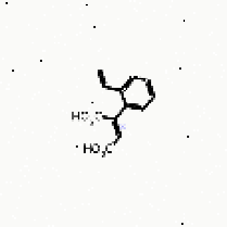 C=Cc1ccccc1/C(=C/C(=O)O)C(=O)O